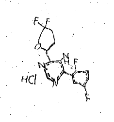 Cl.Nc1c(-c2cc(F)ccc2F)ncnc1C1CCC(F)(F)CO1